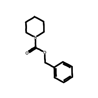 O=C(OCc1ccccc1)N1CC[CH]CC1